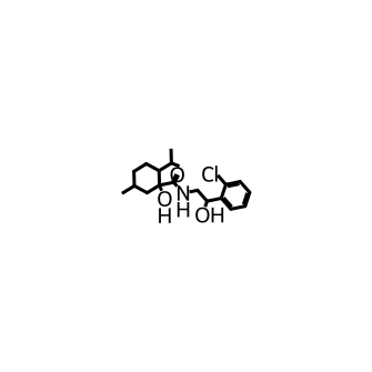 CC1CCC(C(C)C)C(O)(C(=O)NCC(O)c2ccccc2Cl)C1